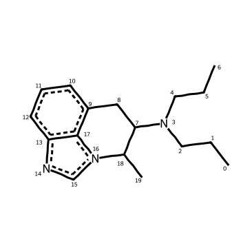 CCCN(CCC)C1Cc2cccc3ncn(c23)C1C